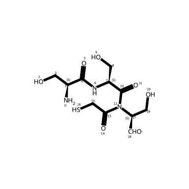 N[C@@H](CO)C(=O)N[C@@H](CO)C(=O)N(C(=O)CS)[C@H]([C]=O)CO